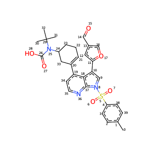 Cc1ccc(S(=O)(=O)n2cc(-c3cc(C=O)co3)c3c(C4=CCCC(N(C(=O)O)C(C)(C)C)C4)ccnc32)cc1